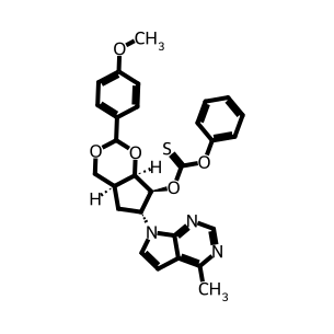 COc1ccc(C2OC[C@@H]3C[C@@H](n4ccc5c(C)ncnc54)[C@H](OC(=S)Oc4ccccc4)[C@@H]3O2)cc1